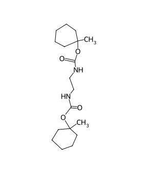 CC1(OC(=O)NCCNC(=O)OC2(C)CCCCC2)CCCCC1